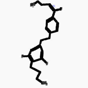 CCC/C=C(/F)c1ccc(CCc2cc(F)c(CCCC)c(F)c2)cc1